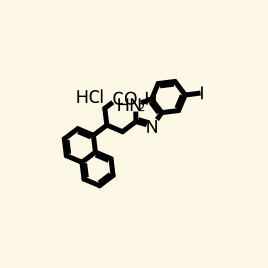 Cl.O=C(O)CC(Cc1nc2cc(I)ccc2[nH]1)c1cccc2ccccc12